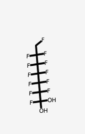 OC(O)(F)C(F)(F)C(F)(F)C(F)(F)C(F)(F)C(F)(F)CF